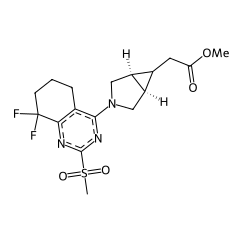 COC(=O)CC1[C@H]2CN(c3nc(S(C)(=O)=O)nc4c3CCCC4(F)F)C[C@@H]12